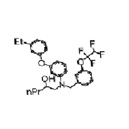 CCCC(O)CN(Cc1cccc(OC(F)(F)C(F)F)c1)c1cccc(Oc2cccc(CC)c2)c1